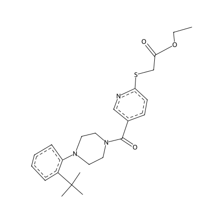 CCOC(=O)CSc1ccc(C(=O)N2CCN(c3ccccc3C(C)(C)C)CC2)cn1